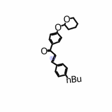 CCCCc1ccc(/C=C/C(=O)c2ccc(OC3CCCCO3)cc2)cc1